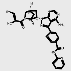 CC(C)C=C(C#N)C(=O)N1C[C@@H]2C[C@@H]1[C@@H](n1nc(-c3ccc(C(=O)Nc4ccccn4)cc3)c3c(N)ncnc31)C2